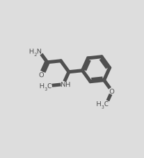 CNC(CC(N)=O)c1cccc(OC)c1